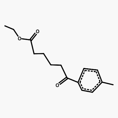 CCOC(=O)CCCCC(=O)c1ccc(C)cc1